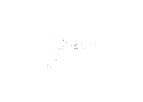 CNC(=O)C1(COc2ccc(C#N)cc2)CN(S(=O)(=O)c2ccc(Cl)cc2Cl)C1